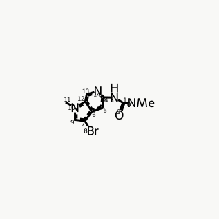 CNC(=O)Nc1cc2c(Br)cn(C)c2cn1